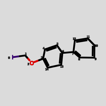 ICOc1ccc(-c2ccccc2)cc1